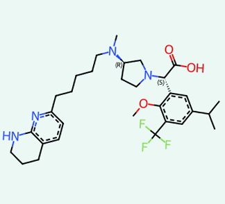 COc1c([C@@H](C(=O)O)N2CC[C@@H](N(C)CCCCCc3ccc4c(n3)NCCC4)C2)cc(C(C)C)cc1C(F)(F)F